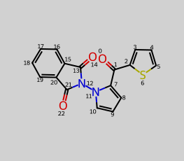 O=C(c1cccs1)c1cccn1N1C(=O)c2ccccc2C1=O